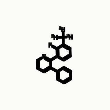 [2H]C([2H])([2H])c1cccc(-c2ncccc2-c2ccccc2)c1F